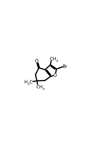 Cc1c(Br)oc2c1C(=O)CC(C)(C)C2